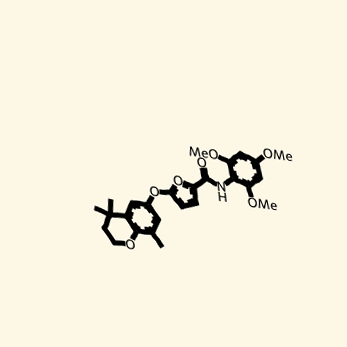 COc1cc(OC)c(NC(=O)c2ccc(Oc3cc(C)c4c(c3)C(C)(C)CCO4)o2)c(OC)c1